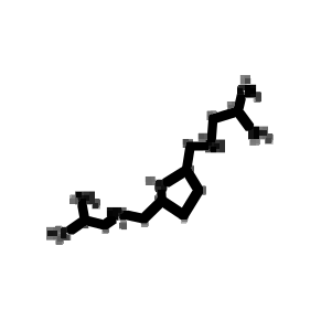 CC(N)CNCC1CCC(CNCC(C)N)O1